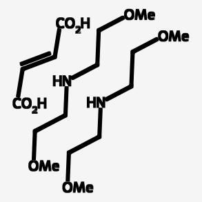 COCCNCCOC.COCCNCCOC.O=C(O)/C=C/C(=O)O